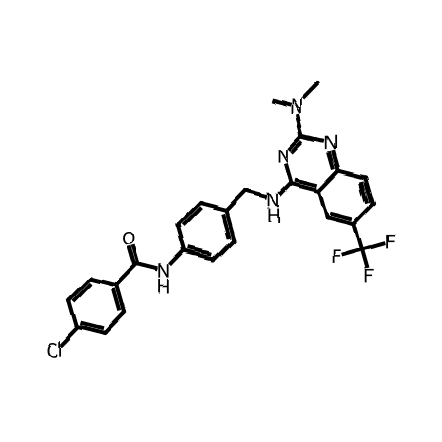 CN(C)c1nc(NCc2ccc(NC(=O)c3ccc(Cl)cc3)cc2)c2cc(C(F)(F)F)ccc2n1